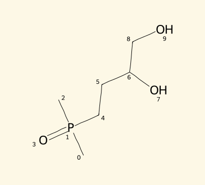 CP(C)(=O)CCC(O)CO